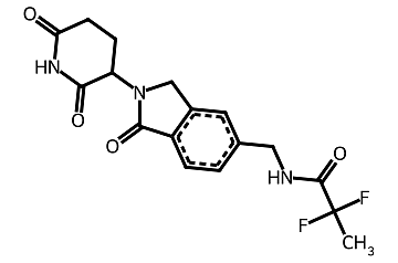 CC(F)(F)C(=O)NCc1ccc2c(c1)CN(C1CCC(=O)NC1=O)C2=O